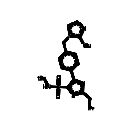 CC(C)Cc1nc(-c2ccc(Cn3ccnc3C(C)(C)C)cc2)c(S(=O)(=O)NC(C)(C)C)s1